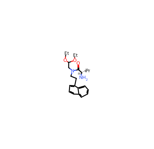 CCOC(CN(CCc1cccc2ccccc12)C(=O)[C@@H](N)C(C)C)OCC